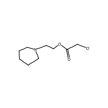 O=C(CCl)OCCN1CCCCC1